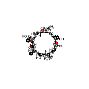 CCCC[C@H]1C(=O)N(C)[C@@H](CCCC)C(=O)N[C@@H](CCC(=O)O)C(=O)N[C@H](C(=O)NCC(N)=O)CNCC(=O)N[C@@H](Cc2ccc(O)cc2)C(=O)N(C)[C@@H](C)C(=O)N[C@@H](CC(N)=O)C(=O)N2CCC[C@H]2C(=O)N[C@@H](CCC(N)=O)C(=O)N[C@@H](CC(=O)O)C(=O)N2C[C@H](O)C[C@H]2C(=O)N[C@@H](Cc2c[nH]c3ccccc23)C(=O)N[C@@H](CC(N)=O)C(=O)N[C@@H](Cc2cn(CC(=O)O)c3ccccc23)C(=O)N1C